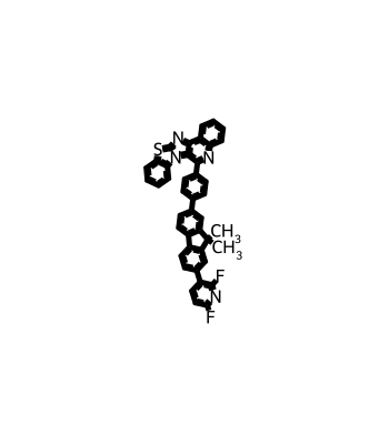 CC1(C)c2cc(-c3ccc(-c4nc5ccccc5c5nc6sc7ccccc7n6c45)cc3)ccc2-c2ccc(-c3ccc(F)nc3F)cc21